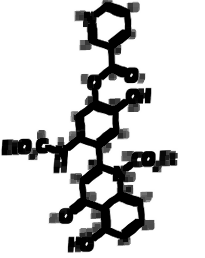 CCOC(=O)Nc1cc(OC(=O)c2cccnc2)c(O)cc1-c1cc(=O)c2c(O)cccc2n1C(=O)OCC